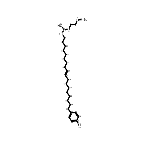 CCCCOCCOP(O)OCCCCCCCCC=CCCCCCCCCc1ccc(Cl)cc1